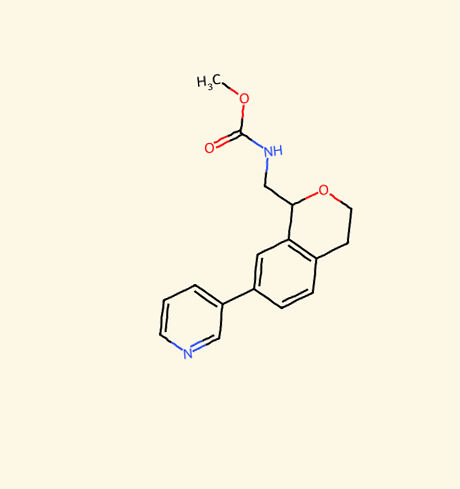 COC(=O)NCC1OCCc2ccc(-c3cccnc3)cc21